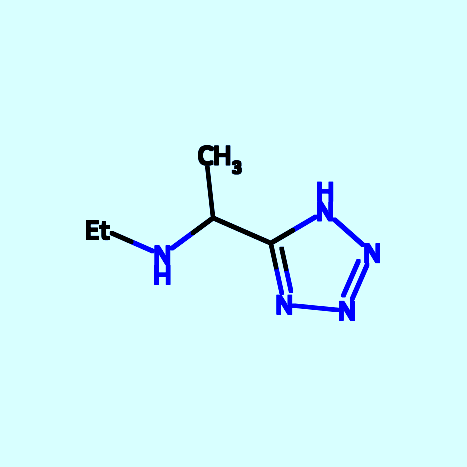 CCNC(C)c1nnn[nH]1